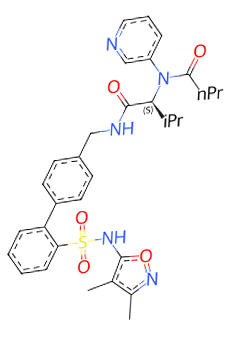 CCCC(=O)N(c1cccnc1)[C@H](C(=O)NCc1ccc(-c2ccccc2S(=O)(=O)Nc2onc(C)c2C)cc1)C(C)C